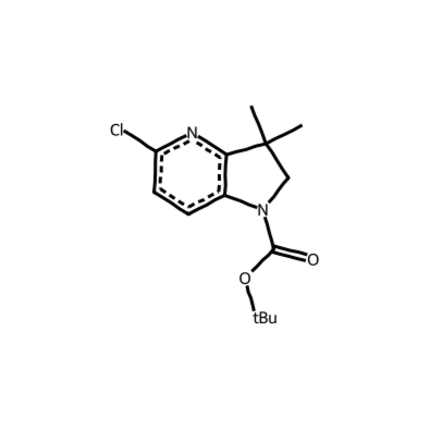 CC(C)(C)OC(=O)N1CC(C)(C)c2nc(Cl)ccc21